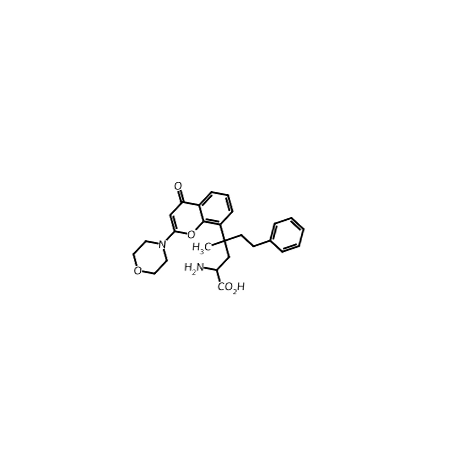 CC(CCc1ccccc1)(CC(N)C(=O)O)c1cccc2c(=O)cc(N3CCOCC3)oc12